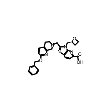 O=C(O)c1ccc2nc(CN3CCc4ccc(OCc5ccccc5)nc4C3)n(C[C@@H]3CCO3)c2n1